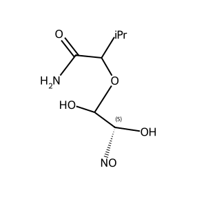 CC(C)C(OC(O)[C@H](O)N=O)C(N)=O